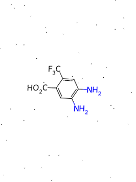 Nc1cc(C(=O)O)c(C(F)(F)F)cc1N